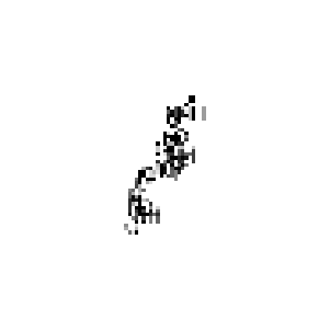 O=C1CCN(c2ccc(CN3CCC(n4cc(NC(=O)c5coc(-c6ccnc(NCC7CC7)c6)n5)c(C(F)F)n4)CC3)cc2)C(=O)N1